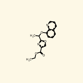 CCOC(=O)c1coc(C(C)Oc2cccc3cccnc23)n1